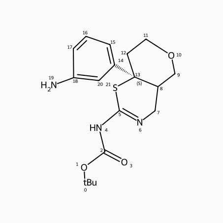 CC(C)(C)OC(=O)NC1=NCC2COCC[C@]2(c2cccc(N)c2)S1